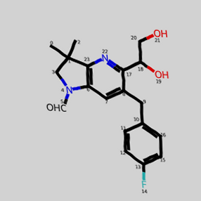 CC1(C)CN(C=O)c2cc(Cc3ccc(F)cc3)c(C(O)CO)nc21